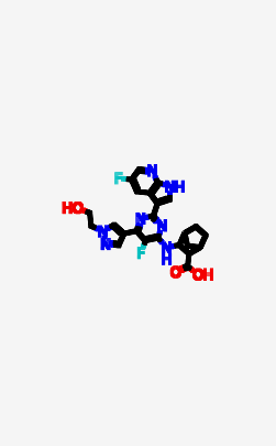 O=C(O)C1C2CCC(C2)C1Nc1nc(-c2c[nH]c3ncc(F)cc23)nc(-c2cnn(CCO)c2)c1F